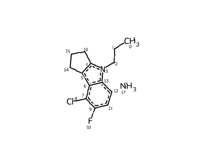 CCCn1c2c(c3c(Cl)c(F)ccc31)CCC2.N